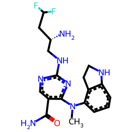 CN(c1cccc2c1CCN2)c1nc(NC[C@@H](N)CC(F)F)ncc1C(N)=O